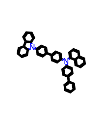 C1=CC2C3C=CC=CC3N(c3ccc(-c4ccc(N(c5ccc(-c6ccccc6)cc5)c5cccc6ccccc56)cc4)cc3)C2C=C1